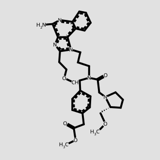 COCCc1nc2c(N)nc3ccccc3c2n1CCCN(Cc1ccc(CC(=O)OC)cc1)C(=O)CN1CCC[C@@H]1COC